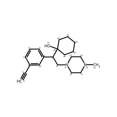 C#Cc1cccc(C(CN2CCN(C)CC2)C2(O)CCCCC2)c1